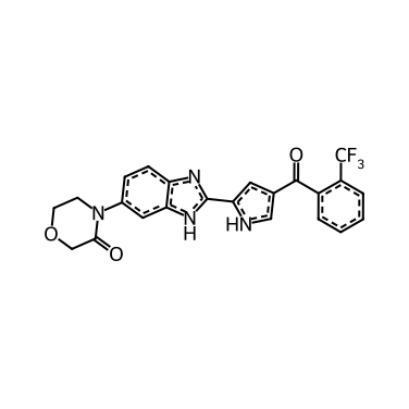 O=C(c1c[nH]c(-c2nc3ccc(N4CCOCC4=O)cc3[nH]2)c1)c1ccccc1C(F)(F)F